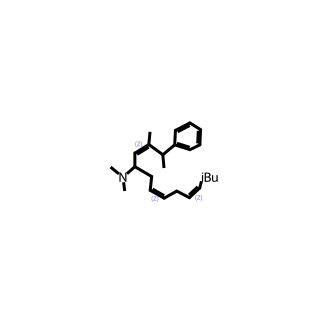 CCC(C)/C=C\C/C=C\CC(/C=C(/C)C(C)c1ccccc1)N(C)C